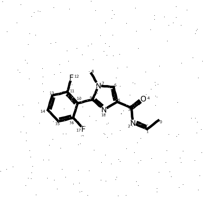 C/C=N\C(=O)c1cn(C)c(-c2c(F)cccc2F)n1